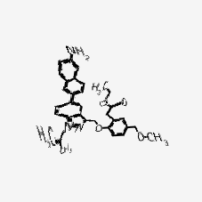 CCOC(=O)Cc1cc(COC)ccc1OCc1nn(C(C)C)c2ccc(-c3ccc4cc(N)ccc4c3)cc12